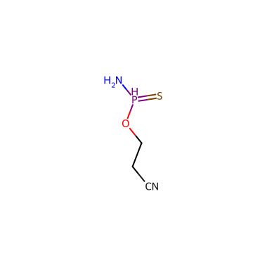 N#CCCO[PH](N)=S